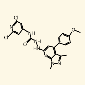 COc1ccc(-c2cc(NNC(=O)Nc3cc(Cl)nc(Cl)c3)nc3c2c(C)nn3C)cc1